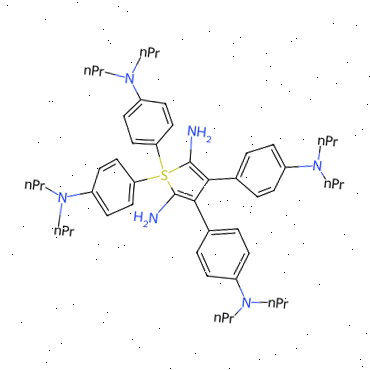 CCCN(CCC)c1ccc(C2=C(N)S(c3ccc(N(CCC)CCC)cc3)(c3ccc(N(CCC)CCC)cc3)C(N)=C2c2ccc(N(CCC)CCC)cc2)cc1